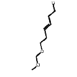 [Li][CH2]CC=CCCOCOC